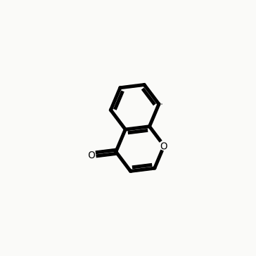 O=c1ccoc2[c]cccc12